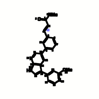 CNC(=O)/C=C/c1cccc(-c2cnc3[nH]cc(-c4ccnc(OC)c4)c3c2)c1